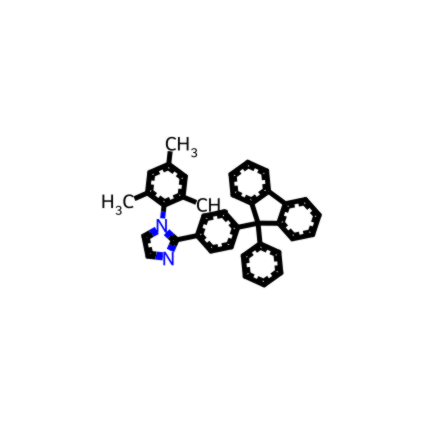 Cc1cc(C)c(-n2ccnc2-c2ccc(C3(c4ccccc4)c4ccccc4-c4ccccc43)cc2)c(C)c1